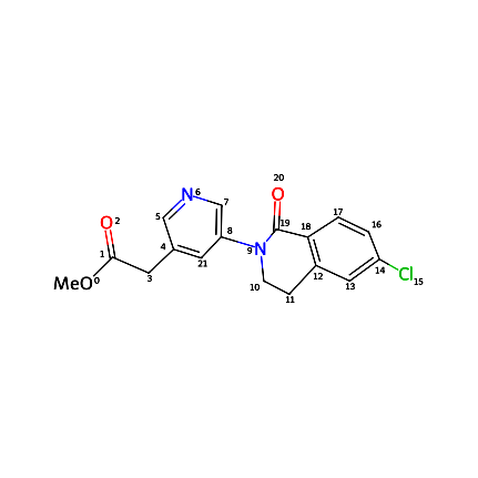 COC(=O)Cc1cncc(N2CCc3cc(Cl)ccc3C2=O)c1